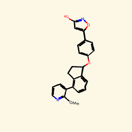 COc1ncccc1-c1cccc2c1CCC2Oc1ccc(-c2cc(O)no2)cc1